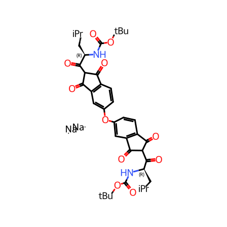 CC(C)C[C@@H](NC(=O)OC(C)(C)C)C(=O)C1C(=O)c2ccc(Oc3ccc4c(c3)C(=O)C(C(=O)[C@@H](CC(C)C)NC(=O)OC(C)(C)C)C4=O)cc2C1=O.[Na].[Na]